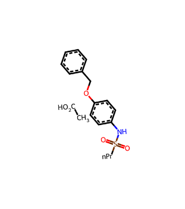 CC(=O)O.CCCS(=O)(=O)Nc1ccc(OCc2ccccc2)cc1